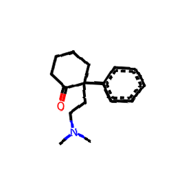 CN(C)CCC1(c2ccccc2)CCCCC1=O